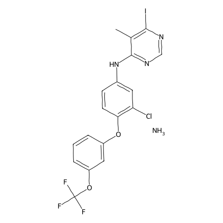 Cc1c(I)ncnc1Nc1ccc(Oc2cccc(OC(F)(F)F)c2)c(Cl)c1.N